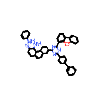 N=C1/C(=N\Nc2ccccc2)C=Cc2ccc3cc(-c4nc(-c5ccc(-c6ccccc6)cc5)nc(-c5cccc6c5oc5ccccc56)n4)ccc3c21